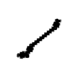 C=C(C)c1ccc(OCCCCCCCCCCCCCCCCCCOc2ccc(/C=C/C(=O)c3ccc(F)cc3)cc2)cc1